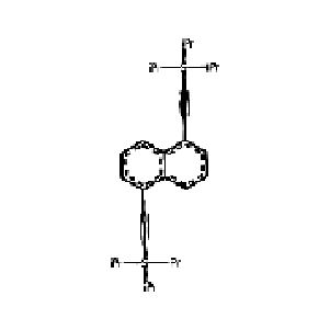 CC(C)S(C#Cc1cccc2c(C#CS(C(C)C)(C(C)C)C(C)C)cccc12)(C(C)C)C(C)C